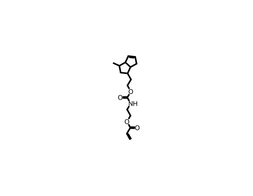 C=CC(=O)OCCNC(=O)OCCC1CC(C)C2C=CCC12